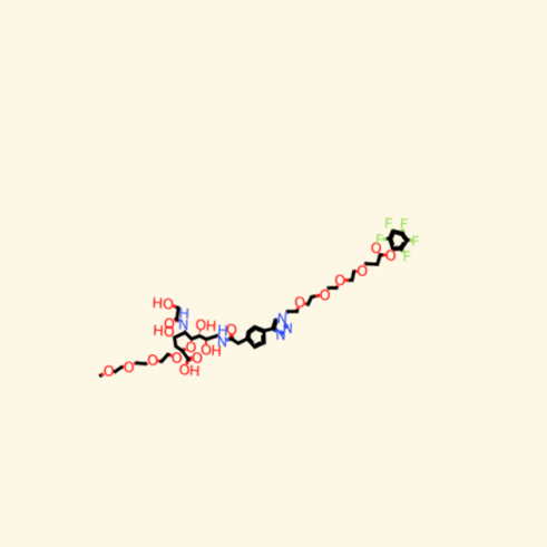 COCCOCCOCCO[C@]1(C(=O)O)C[C@H](O)[C@@H](NC(=O)CO)[C@H]([C@H](O)[C@H](O)CNC(=O)Cc2ccc(-c3cn(CCOCCOCCOCCOCCC(=O)Oc4c(F)c(F)c(F)c(F)c4F)nn3)cc2)O1